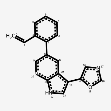 C=Cc1ccccc1-c1cnc2[nH]cc(-c3cnco3)c2c1